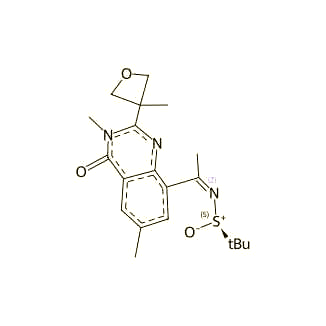 C/C(=N/[S@+]([O-])C(C)(C)C)c1cc(C)cc2c(=O)n(C)c(C3(C)COC3)nc12